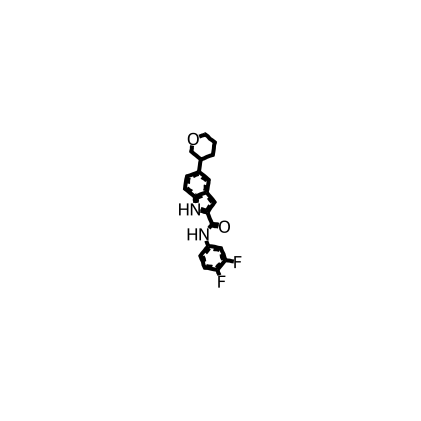 O=C(Nc1ccc(F)c(F)c1)c1cc2cc(C3CCCOC3)ccc2[nH]1